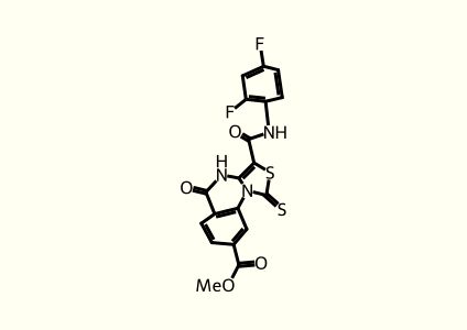 COC(=O)c1ccc2c(=O)[nH]c3c(C(=O)Nc4ccc(F)cc4F)sc(=S)n3c2c1